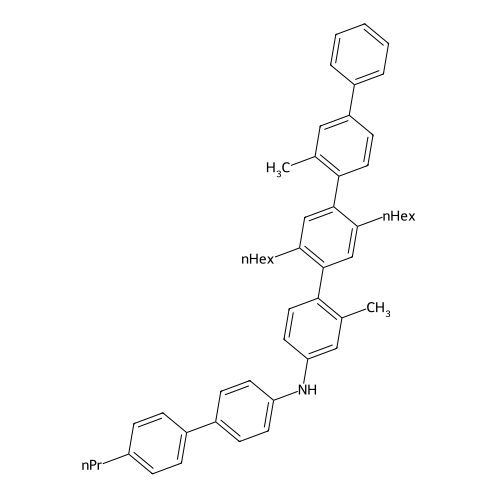 CCCCCCc1cc(-c2ccc(-c3ccccc3)cc2C)c(CCCCCC)cc1-c1ccc(Nc2ccc(-c3ccc(CCC)cc3)cc2)cc1C